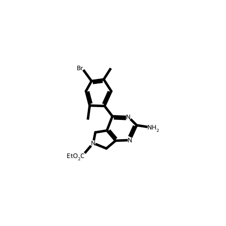 CCOC(=O)N1Cc2nc(N)nc(-c3cc(C)c(Br)cc3C)c2C1